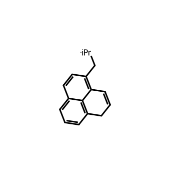 C[C](C)Cc1ccc2cccc3c2c1C=CC3